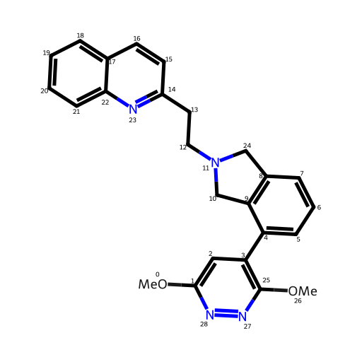 COc1cc(-c2cccc3c2CN(CCc2ccc4ccccc4n2)C3)c(OC)nn1